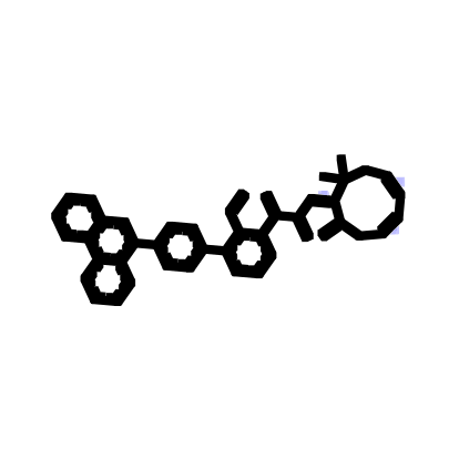 C=Cc1c(C(=C)C(=C)/C=C2\C(=C)C/C=C\C=C/CC2(C)C)cccc1-c1ccc(-c2cc3ccccc3c3ccccc23)cc1